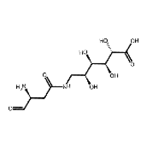 N[C@H](C=O)CC(=O)NC[C@H](O)[C@@H](O)[C@H](O)[C@H](O)C(=O)O